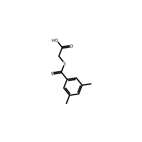 Cc1cc(C)cc(C(=S)SCC(=O)O)c1